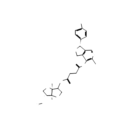 Cc1ncc2c(c1OC(=O)CCC(=O)OC1CO[C@H]3[C@@H]1OC[C@H]3O[N+](=O)[O-])CO[C@H]2c1ccc(Cl)cc1